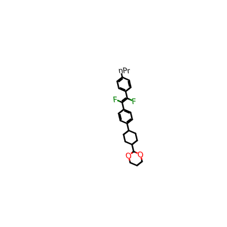 CCCc1ccc(C(F)=C(F)c2ccc(C3CCC(C4OCCCO4)CC3)cc2)cc1